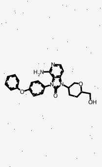 Nc1nccc2c1n(-c1ccc(Oc3ccccc3)cc1)c(=O)n2C1CCC(CO)OC1